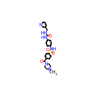 CN1CCN(C(=O)c2ccc(S(=O)(=O)Nc3ccc(NC(=O)NCc4cccnc4)cc3)cc2)CC1